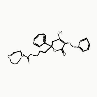 O=C1OC(CCCCC(=O)N2CCOCC2)(c2ccccc2)CC(O)=C1SCc1ccccc1